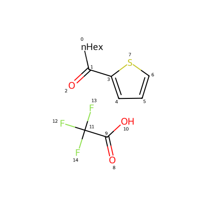 CCCCCCC(=O)c1cccs1.O=C(O)C(F)(F)F